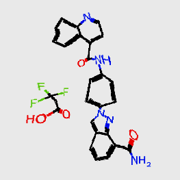 NC(=O)c1cccc2cn(-c3ccc(NC(=O)c4ccnc5ccccc45)cc3)nc12.O=C(O)C(F)(F)F